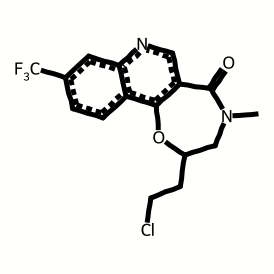 CN1CC(CCCl)Oc2c(cnc3cc(C(F)(F)F)ccc23)C1=O